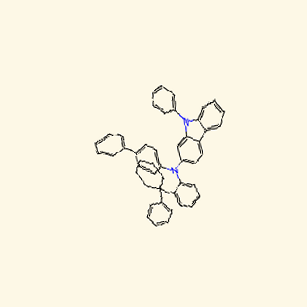 c1ccc(-c2ccc(N(c3ccc4c5ccccc5n(-c5ccccc5)c4c3)c3ccccc3C3(c4ccccc4)CCCCC3)cc2)cc1